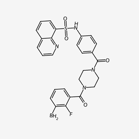 Bc1cccc(C(=O)N2CCN(C(=O)c3ccc(NS(=O)(=O)c4cccc5cccnc45)cc3)CC2)c1F